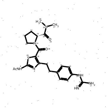 CC(=O)Nc1nc(CCc2ccc(NC(=N)N)cc2)c(C(=O)N2CCC[C@@H]2C(=O)N(C)C)s1